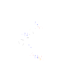 COC1(CN2CCCS2(=O)=O)CCN(CCc2c(-c3cc(C)cc(C)c3)[nH]c3sc(C(C)(C)C(=O)N4C5CCC4CC5)cc23)CC1